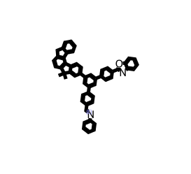 CC1(C)c2cc(-c3cc(-c4ccc(/C=N/c5ccccc5)cc4)cc(-c4ccc(-c5nc6ccccc6o5)cc4)c3)ccc2-c2c1ccc1c2-c2ccccc2C1